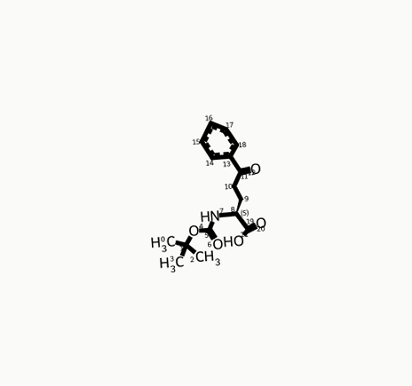 CC(C)(C)OC(=O)N[C@@H](CCC(=O)c1ccccc1)C(=O)O